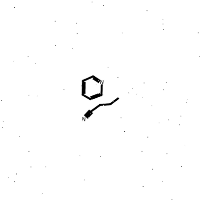 CCCC#N.c1ccncc1